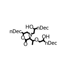 CCCCCCCCCCC(O)COC(C)C1C(=O)OC(CCCCCCCCCC)CN1CC(O)CCCCCCCCCC